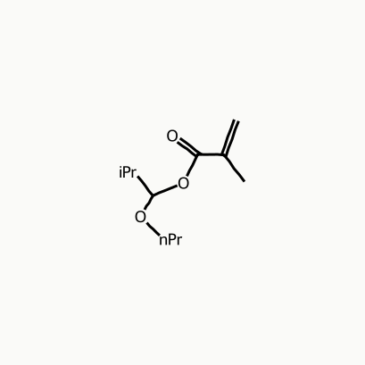 C=C(C)C(=O)OC(OCCC)C(C)C